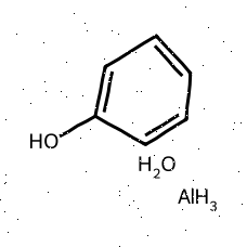 O.Oc1ccccc1.[AlH3]